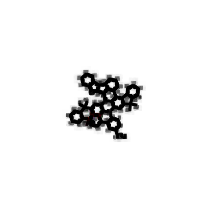 CC(C)(C)c1ccc(N2c3cc4c(cc3B3c5c2cc2c(c5-c5cccc6c7c8ccccc8oc7n3c56)-c3ccccc3C2(C)C)C(C)(C)c2ccccc2C4(C)C)c(-c2ccccc2)c1